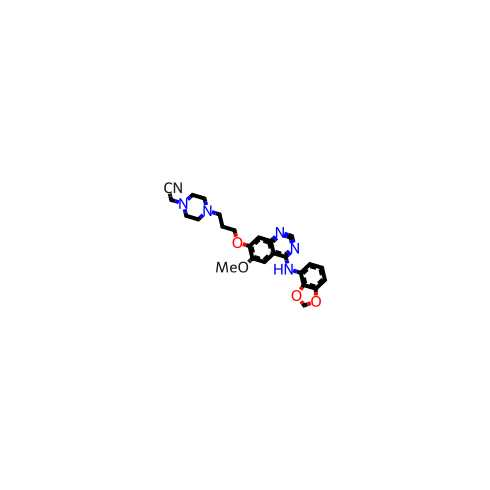 COc1cc2c(Nc3cccc4c3OCO4)ncnc2cc1OCCCN1CCN(CC#N)CC1